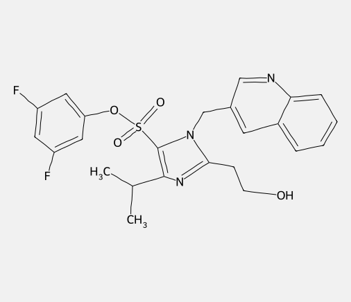 CC(C)c1nc(CCO)n(Cc2cnc3ccccc3c2)c1S(=O)(=O)Oc1cc(F)cc(F)c1